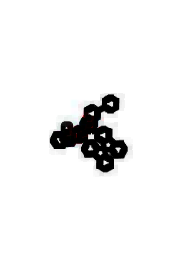 c1ccc(-c2cccc(N(c3ccc4c(c3)C3(c5ccccc5-c5ccc(N(c6ccccc6)c6ccccc6)cc53)c3ccccc3-4)c3ccc4c(c3)oc3ccccc34)c2)cc1